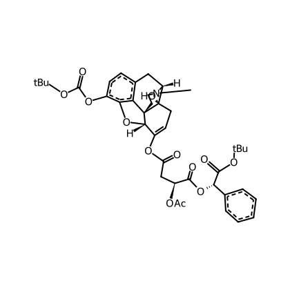 CC(=O)O[C@@H](CC(=O)OC1=CC[C@@]2(O)[C@H]3Cc4ccc(OC(=O)OC(C)(C)C)c5c4[C@@]2(CCN3C)[C@H]1O5)C(=O)O[C@H](C(=O)OC(C)(C)C)c1ccccc1